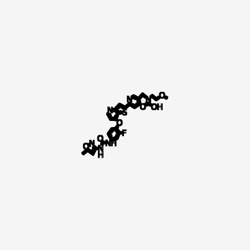 COCCN(Cc1ccc(-c2cc3nccc(Oc4ccc(NC(=O)Nc5cc(C)on5)cc4F)c3s2)nc1)C(=O)O